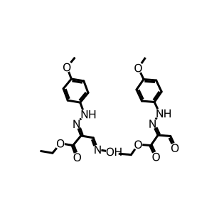 CCOC(=O)/C(C=O)=N/Nc1ccc(OC)cc1.CCOC(=O)C(/C=N/O)=N/Nc1ccc(OC)cc1